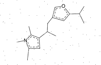 Cc1cc(C(C)Cc2coc(C(C)C)c2)c(C)n1C